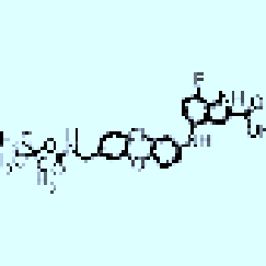 CC(C)(C)OC(=O)NCc1cccc(Oc2ccc(Nc3ccc(F)c4[nH]c(C(=O)O)cc34)cc2Cl)c1